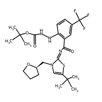 CC(C)(C)OC(=O)NNc1ccc(C(F)(F)F)cc1C(=O)/N=c1\sc(C(C)(C)C)cn1C[C@H]1CCCO1